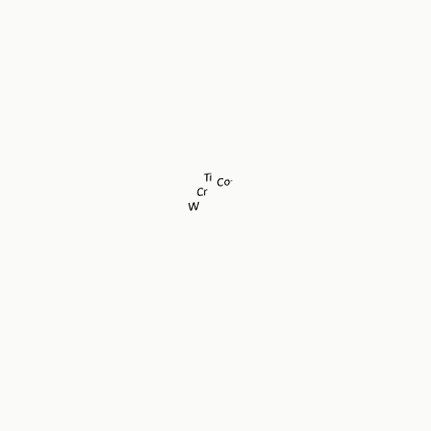 [Co].[Cr].[Ti].[W]